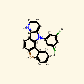 Fc1cc(F)cc(-n2c3cccnc3c3ccc4sc5ccccc5c4c32)c1